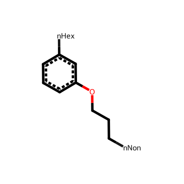 CCCCCCCCCCCCOc1cccc(CCCCCC)c1